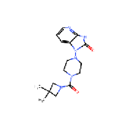 CC1(C)CN(C(=O)N2CCN(n3c(=O)[nH]c4ncccc43)CC2)C1